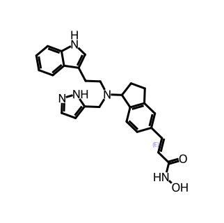 O=C(/C=C/c1ccc2c(c1)CCC2N(CCc1c[nH]c2ccccc12)Cc1ccn[nH]1)NO